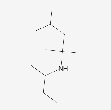 CCC(C)NC(C)(C)CC(C)C